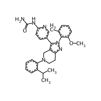 COc1cccc(C)c1-n1nc2c(c1-c1ccc(NC(N)=O)nc1)CN(c1ccccc1C(C)C)CC2